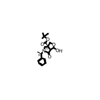 C[C@H](c1ccccc1)N1C[C@]2(C(=O)OC(C)(C)C)COC(O)C2C1=O